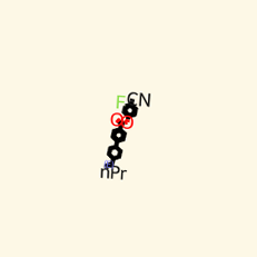 CCC/C=C/C1CCC(c2ccc(C(=O)Oc3ccc(C#N)c(F)c3)cc2)CC1